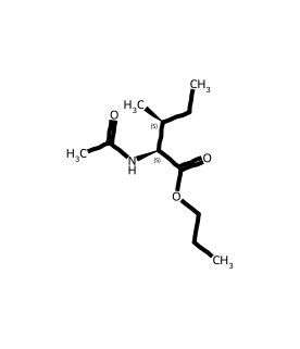 CCCOC(=O)[C@@H](NC(C)=O)[C@@H](C)CC